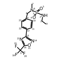 CCNS(=O)(=O)N(C)Cc1ccc(-c2noc(C(F)(F)F)n2)cc1